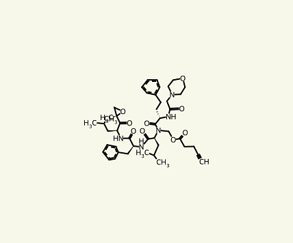 C#CCCC(=O)OCN(C(=O)[C@H](CCc1ccccc1)NC(=O)CN1CCOCC1)[C@@H](CC(C)C)C(=O)N[C@@H](Cc1ccccc1)C(=O)N[C@@H](CC(C)C)C(=O)[C@@]1(C)CO1